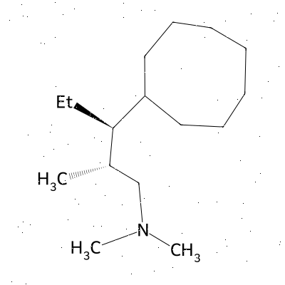 CC[C@@H](C1CCCCCCC1)[C@@H](C)CN(C)C